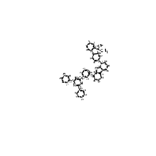 CC1(C)c2ccccc2-c2ccc(-c3cccc4c3sc3c(-c5cc(-c6nc(-c7ccccc7)nc(-c7ccccc7)n6)ccn5)cccc34)cc21